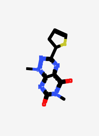 Cn1nc(C2CC=CS2)nc2c(=O)n(C)c(=O)nc1-2